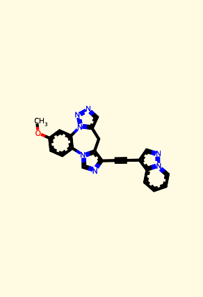 COc1ccc2c(c1)-n1nncc1Cc1c(C#Cc3cnn4ccccc34)ncn1-2